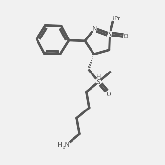 CC(C)S1(=O)=NC(c2ccccc2)[C@@H](C[SH](C)(=O)CCCCN)C1